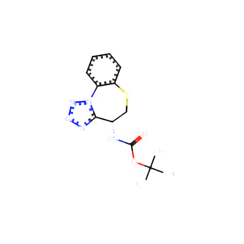 CC(C)(C)OC(=O)N[C@H]1CSc2ccccc2-n2nnnc21